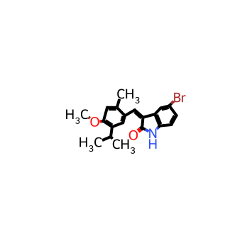 COc1cc(C)c(C=C2C(=O)Nc3ccc(Br)cc32)cc1C(C)C